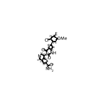 COc1cc(-c2cc3[nH]c(=O)n(-c4cncc5cc(C(N)=O)sc45)c(=O)c3s2)c(Cl)cc1F